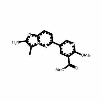 COC(=O)c1cc(-c2ccc3nc(N)c(C)n3n2)cnc1OC